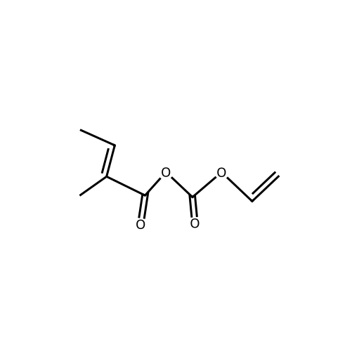 C=COC(=O)OC(=O)C(C)=CC